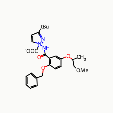 COC[C@H](C)Oc1ccc(OCc2ccccc2)c(C(=O)N[N+]2(C(=O)[O-])C=CC(C(C)(C)C)=N2)c1